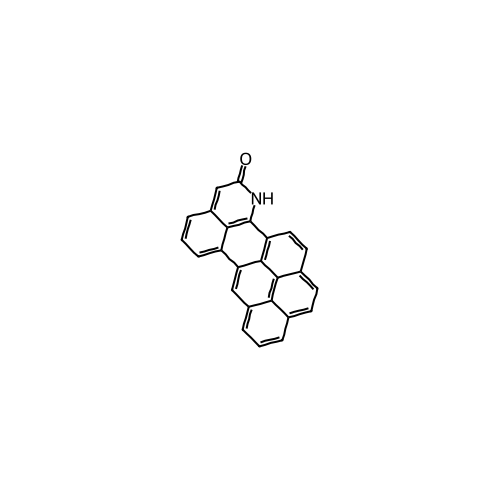 O=c1cc2cccc3c4cc5cccc6ccc7ccc(c([nH]1)c23)c4c7c65